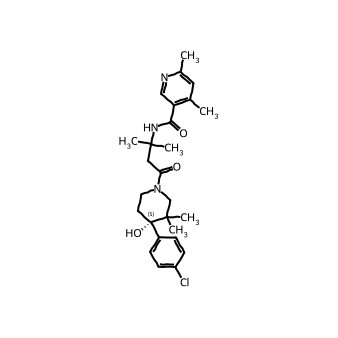 Cc1cc(C)c(C(=O)NC(C)(C)CC(=O)N2CC[C@](O)(c3ccc(Cl)cc3)C(C)(C)C2)cn1